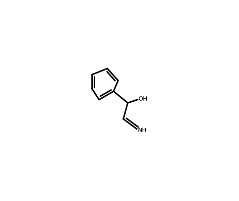 N=CC(O)c1ccccc1